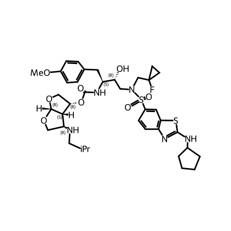 COc1ccc(C[C@H](NC(=O)O[C@H]2CO[C@H]3OC[C@H](NCC(C)C)[C@H]32)[C@H](O)CN(CC2(F)CC2)S(=O)(=O)c2ccc3nc(NC4CCCC4)sc3c2)cc1